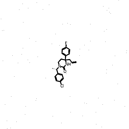 C=CCC1(c2ccc(F)cc2)CCN([C@@H](C)c2ccc(Cl)cc2)C(=O)N1